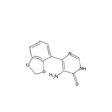 Nc1c(-c2cccc3c2OCO3)nc[nH]c1=O